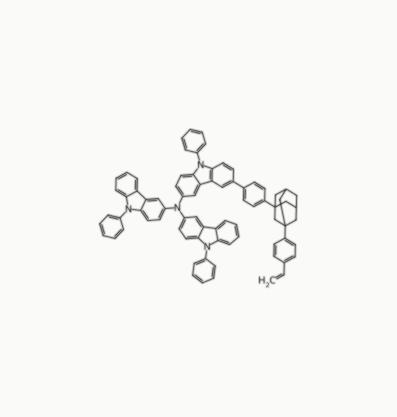 C=Cc1ccc(C23CC4CC(C2)CC(c2ccc(-c5ccc6c(c5)c5cc(N(c7ccc8c(c7)c7ccccc7n8-c7ccccc7)c7ccc8c(c7)c7ccccc7n8-c7ccccc7)ccc5n6-c5ccccc5)cc2)(C4)C3)cc1